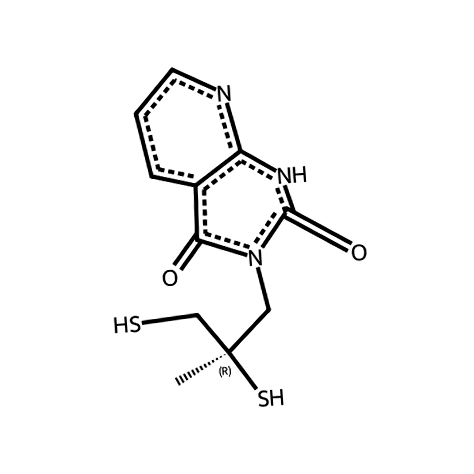 C[C@](S)(CS)Cn1c(=O)[nH]c2ncccc2c1=O